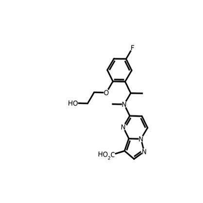 CC(c1cc(F)ccc1OCCO)N(C)c1ccn2ncc(C(=O)O)c2n1